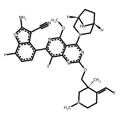 COc1nc(-c2ccc(F)c3sc(N)c(C#N)c23)c(F)c2nc(OC[C@]3(C)CN(C)CC/C3=C\F)nc(N3C[C@H]4CC[C@@H](C3)N4)c12